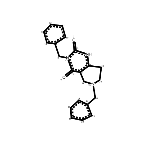 O=c1[nH]c2c(c(=O)n1Cc1ccccc1)CN(Cc1ccccc1)CC2